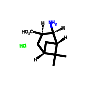 CC1(C)[C@H]2C[C@@H]1[C@H](N)[C@H](C(=O)O)C2.Cl